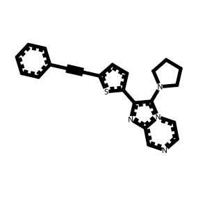 C(#Cc1ccc(-c2nc3cnccn3c2N2CCCC2)s1)c1ccccc1